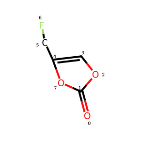 O=c1occ(CF)o1